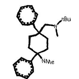 CCCCN(C)CC1(c2ccccc2)CCC(NC)(c2ccccc2)CC1